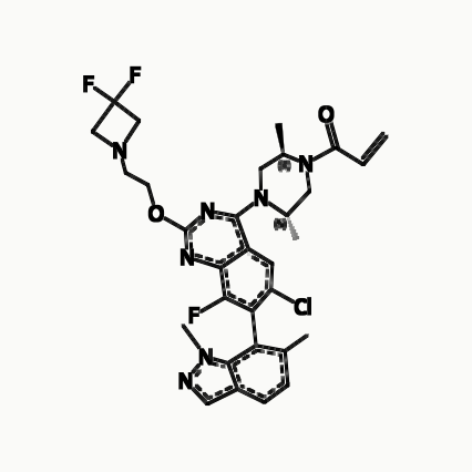 C=CC(=O)N1C[C@H](C)N(c2nc(OCCN3CC(F)(F)C3)nc3c(F)c(-c4c(C)ccc5cnn(C)c45)c(Cl)cc23)C[C@H]1C